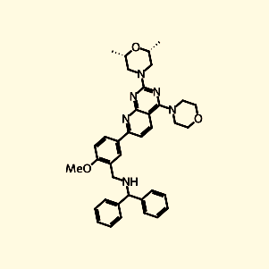 COc1ccc(-c2ccc3c(N4CCOCC4)nc(N4C[C@@H](C)O[C@@H](C)C4)nc3n2)cc1CNC(c1ccccc1)c1ccccc1